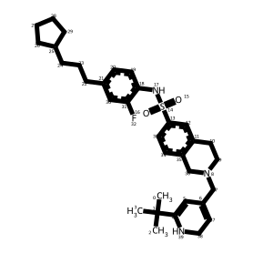 CC(C)(C)C1=CC(CN2CCc3cc(S(=O)(=O)Nc4ccc(CCCC5CCCC5)cc4F)ccc3C2)=CCN1